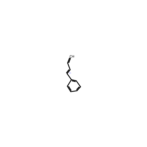 [CH]=C/C=C/c1ccccc1